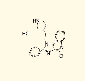 Cl.Clc1nc2ccccc2c2c1nc(-c1ccccc1)n2CCC1CCNCC1